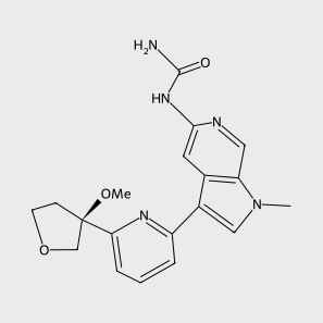 CO[C@]1(c2cccc(-c3cn(C)c4cnc(NC(N)=O)cc34)n2)CCOC1